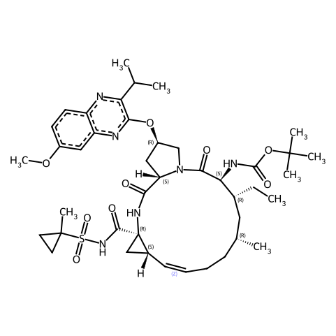 CC[C@@H]1C[C@H](C)CC/C=C\[C@@H]2C[C@@]2(C(=O)NS(=O)(=O)C2(C)CC2)NC(=O)[C@@H]2C[C@@H](Oc3nc4cc(OC)ccc4nc3C(C)C)CN2C(=O)[C@H]1NC(=O)OC(C)(C)C